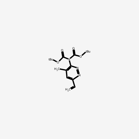 C=Cc1cc(C)c(N(C(=O)OC(C)(C)C)C(=O)OC(C)(C)C)nn1